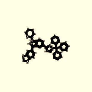 c1ccc(C(c2ccccc2)(c2ccccc2)n2cnc(-c3ccc4c(c3)c(-c3ccc5c(c3)OCO5)nn4C3CCCCO3)n2)cc1